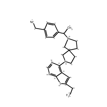 CC(c1ccc(CC#N)cc1)N1CCC2(CCN(c3ncnc4sc(CC(F)(F)F)cc34)C2)C1